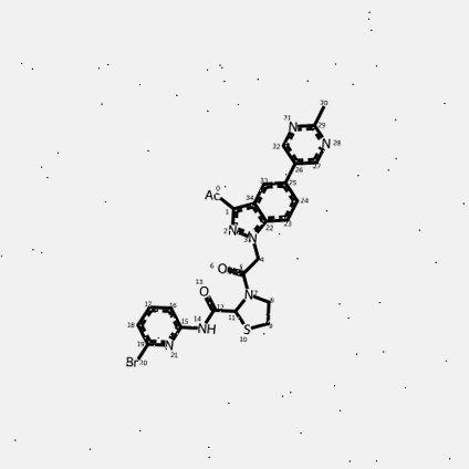 CC(=O)c1nn(CC(=O)N2CCSC2C(=O)Nc2cccc(Br)n2)c2ccc(-c3cnc(C)nc3)cc12